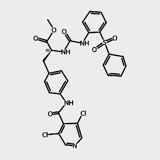 COC(=O)[C@H](Cc1ccc(NC(=O)c2c(Cl)cncc2Cl)cc1)NC(=O)Nc1ccccc1S(=O)(=O)c1ccccc1